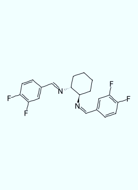 Fc1ccc(/C=N\[C@@H]2CCCC[C@H]2/N=C/c2ccc(F)c(F)c2)cc1F